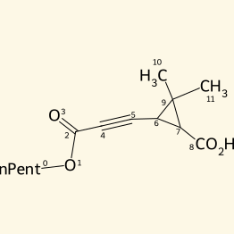 CCCCCOC(=O)C#CC1C(C(=O)O)C1(C)C